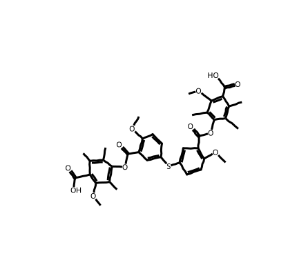 COc1ccc(Sc2ccc(OC)c(C(=O)Oc3c(C)c(C)c(C(=O)O)c(OC)c3C)c2)cc1C(=O)Oc1c(C)c(C)c(C(=O)O)c(OC)c1C